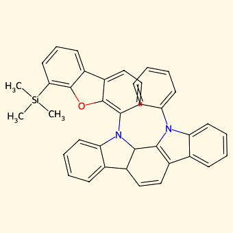 C[Si](C)(C)c1cccc2c1oc1c(N3c4ccccc4C4C=Cc5c(n(-c6ccccc6)c6ccccc56)C43)cccc12